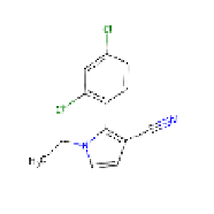 CCn1ccc(C#N)c1-c1ccc(Cl)cc1Cl